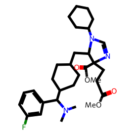 COC(=O)CCC1(C(=O)OC)N=CN(C2CCCCC2)C1CC1CCC(C(c2cccc(F)c2)N(C)C)CC1